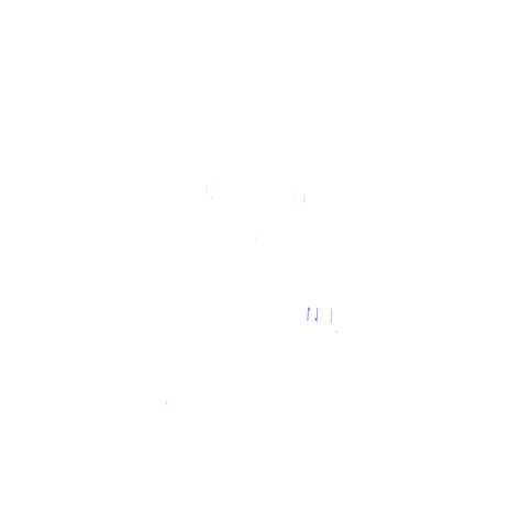 CC(C)(C)OC(=O)C(N)CCCl